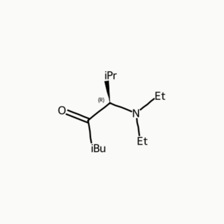 CCC(C)C(=O)[C@@H](C(C)C)N(CC)CC